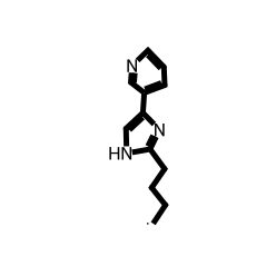 [CH2]CCCc1nc(-c2cccnc2)c[nH]1